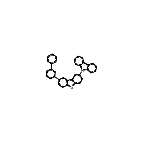 c1ccc(-c2cccc(-c3ccc4sc5ccc(-n6c7ccccc7c7ccccc76)cc5c4c3)c2)cc1